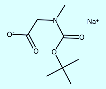 CN(CC(=O)[O-])C(=O)OC(C)(C)C.[Na+]